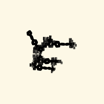 CC(C)(C)C#CC#Cc1ccc(C(=O)N[C@H](C(=O)NONC(=O)[C@@H](NC(=O)c2ccc(C#CC3CCCC3)cc2)[C@](C)(O)C(F)F)[C@](C)(O)C(F)F)cc1.CC(C)(C)C#Cc1ccc(C(=O)N[C@H](C(=O)NO)[C@](C)(O)C(F)F)cc1.NC(=O)c1ccc(C#CC#CC(F)(F)F)cc1